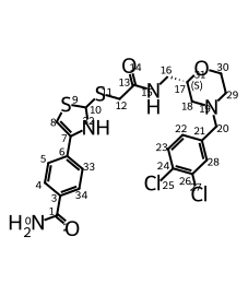 NC(=O)c1ccc(C2=CSC(SCC(=O)NC[C@H]3CN(Cc4ccc(Cl)c(Cl)c4)CCO3)N2)cc1